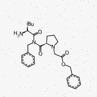 CC[C@H](C)[C@H](N)C(=O)N(Cc1ccccc1)C(=O)[C@H]1CCCN1CC(=O)OCc1ccccc1